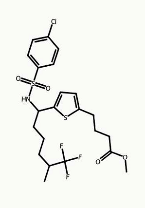 COC(=O)CCCc1ccc(C(CCCC(C)C(F)(F)F)NS(=O)(=O)c2ccc(Cl)cc2)s1